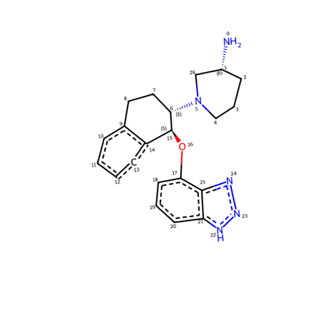 N[C@@H]1CCCN([C@H]2CCc3ccccc3[C@@H]2Oc2cccc3[nH]nnc23)C1